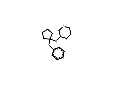 c1ccc(OC2(OC3CCCOC3)CCCC2)cc1